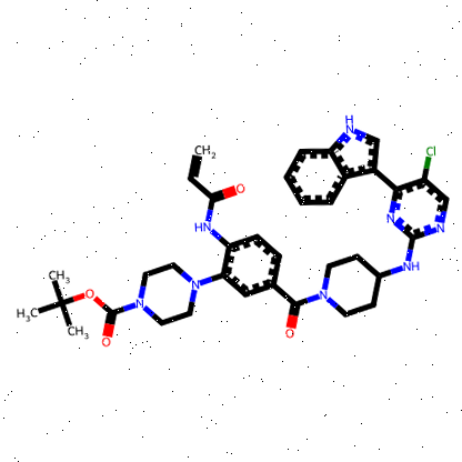 C=CC(=O)Nc1ccc(C(=O)N2CCC(Nc3ncc(Cl)c(-c4c[nH]c5ccccc45)n3)CC2)cc1N1CCN(C(=O)OC(C)(C)C)CC1